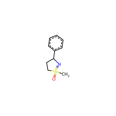 CS1(=O)=NC(c2ccccc2)CC1